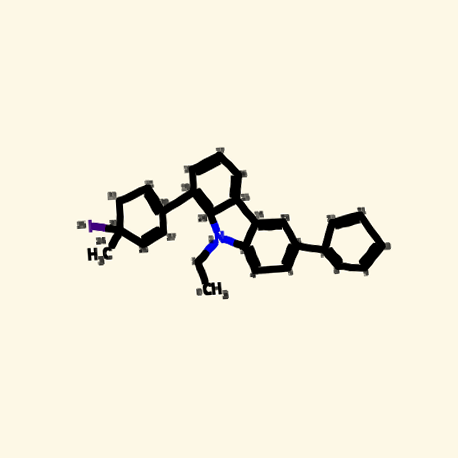 CCn1c2ccc(-c3ccccc3)cc2c2cccc(C3=CCC(C)(I)C=C3)c21